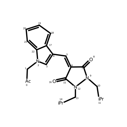 CC(=O)Cn1cc(C=C2C(=O)N(CC(C)C)N(CC(C)C)C2=O)c2ccccc21